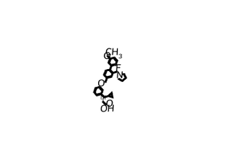 COc1ccc(F)c(-c2ccc(COc3cccc([C@@H](CC(=O)O)C4CC4)c3)cc2CN2CCCC2)c1